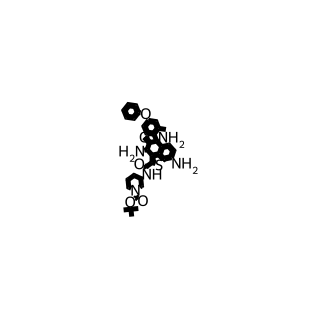 Cc1cc(Oc2ccccc2)ccc1C1(N)C(=O)C(N)c2c(C(=O)N[C@@H]3CCCN(C(=O)OC(C)(C)C)C3)sc3c(N)ccc1c23